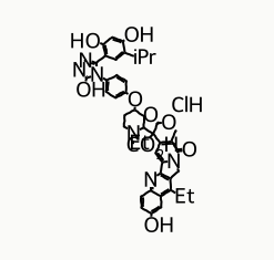 CCc1c2c(nc3ccc(O)cc13)-c1cc3c(c(=O)n1C2)COC(=O)C3(CC)C1CC(Oc2ccc(-n3c(O)nnc3-c3cc(C(C)C)c(O)cc3O)cc2)CCN1C(=O)O.Cl